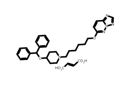 O=C(O)C=CC(=O)O.c1ccc(C(OC2CCN(CCCCCCOc3ccc4ncnn4n3)CC2)c2ccccc2)cc1